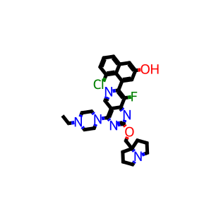 CCN1CCN(c2nc(OCC34CCCN3CCC4)nc3c(F)c(-c4cc(O)cc5cccc(Cl)c45)ncc23)CC1